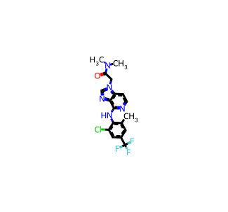 Cc1cc(C(F)(F)F)cc(Cl)c1Nc1nccc2c1ncn2CC(=O)N(C)C